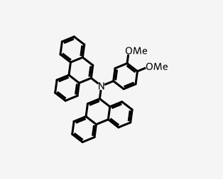 COc1ccc(N(c2cc3ccccc3c3ccccc23)c2cc3ccccc3c3ccccc23)cc1OC